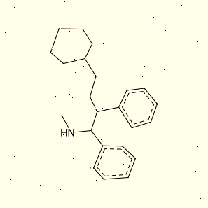 CNC(c1[c]cccc1)C(CCC1CCCCC1)c1ccccc1